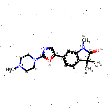 CN1CCN(c2ncc(-c3ccc4c(c3)N(C)C(=O)C4(C)C)o2)CC1